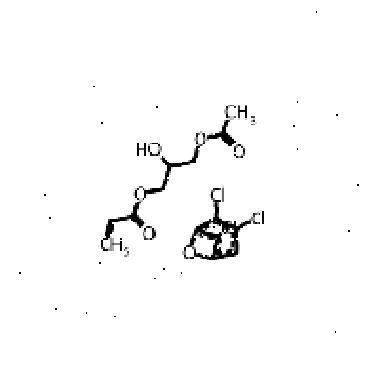 C=CC(=O)OCC(O)COC(C)=O.Clc1cc2c(Cl)c(c1Cl)O2